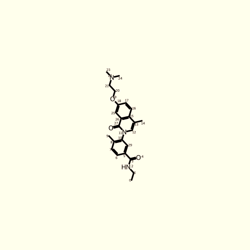 CCNC(=O)c1ccc(C)c(-n2cc(C)c3ccc(OCCN(C)C)cc3c2=O)c1